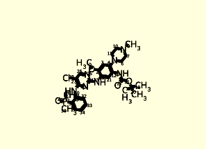 COc1cc(N2CCN(C)CC2)c(NC(=O)OC(C)(C)C)cc1Nc1ncc(Cl)c(Nc2ccccc2P(C)(C)=O)n1